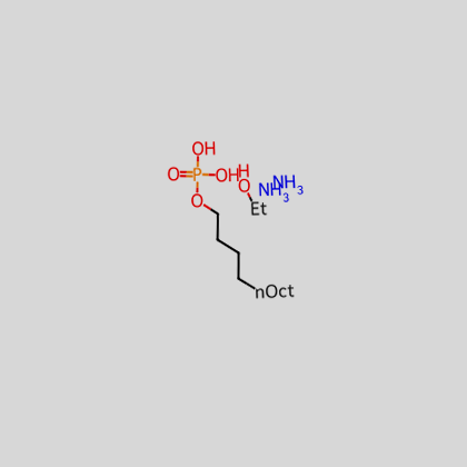 CCCCCCCCCCCCOP(=O)(O)O.CCO.N.N